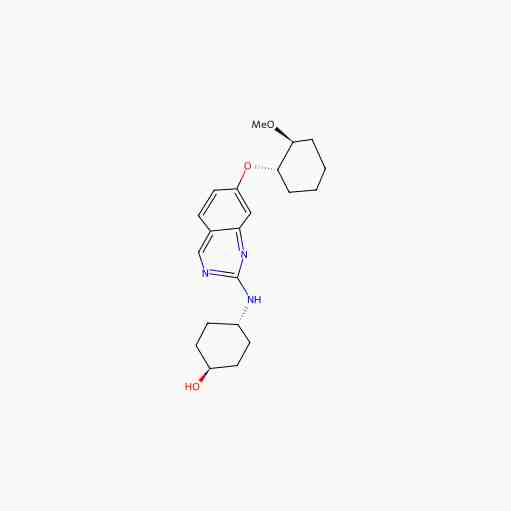 CO[C@H]1CCCC[C@@H]1Oc1ccc2cnc(N[C@H]3CC[C@H](O)CC3)nc2c1